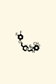 Cc1cccc2nc(CN3CCC(CCOc4ccc(F)c(F)c4)CC3)n(C)c12